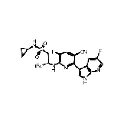 CC(C)(C)[C@@H](CS(=O)(=O)NC1CC1)Nc1nc(-c2c[nH]c3ncc(F)cc23)c(C#N)cc1F